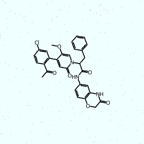 COc1cn(C(Cc2ccccc2)C(=O)Nc2ccc3c(c2)NC(=O)CO3)c(=O)cc1-c1cc(Cl)ccc1C(C)=O